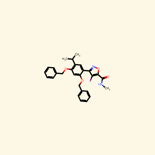 CNC(=O)c1onc(-c2cc(C(C)C)c(OCc3ccccc3)cc2OCc2ccccc2)c1I